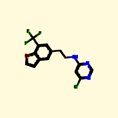 FC(F)(F)c1cc(CCNc2cc(Cl)ncn2)cc2ccsc12